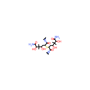 CC(C)(C(O)CC(SC(CC(O)C(C)(C)C(O)C(N)=O)C(=O)N1CC1)C(=O)N1CC1)C(O)C(N)=O